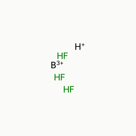 F.F.F.[B+3].[H+]